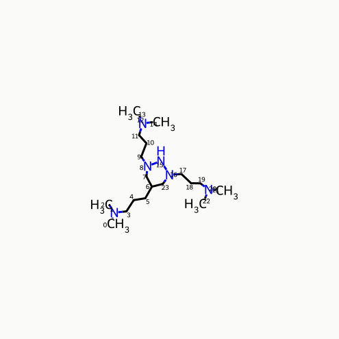 CN(C)CCCC1CN(CCCN(C)C)NN(CCCN(C)C)C1